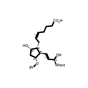 CCCCC[C@H](O)/C=C/[C@@H]1[C@@H](C/C=C\CCCC(=O)O)[C@@H](O)C[C@H]1OC(C)C